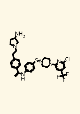 C=C(Nc1ccc(SN2CCN(c3cc(C(F)(F)F)cc(Cl)n3)CC2)cc1)c1ccc(CCN2CCC(N)C2)cc1